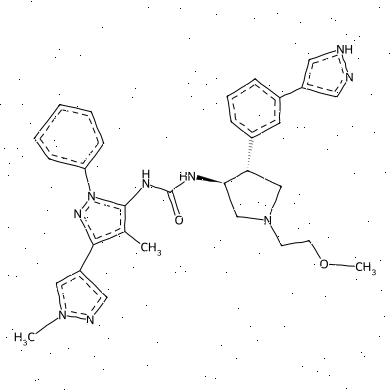 COCCN1C[C@@H](NC(=O)Nc2c(C)c(-c3cnn(C)c3)nn2-c2ccccc2)[C@H](c2cccc(-c3cn[nH]c3)c2)C1